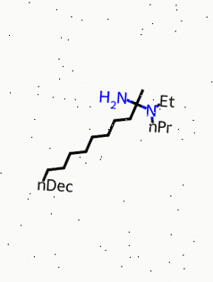 CCCCCCCCCCCCCCCCCCC(C)(N)N(CC)CCC